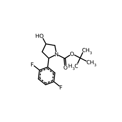 CC(C)(C)OC(=O)N1CC(O)CC1c1cc(F)ccc1F